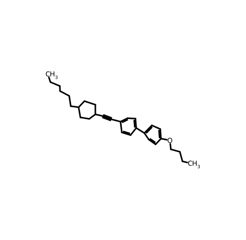 CCCCCCC1CCC(C#Cc2ccc(-c3ccc(OCCCC)cc3)cc2)CC1